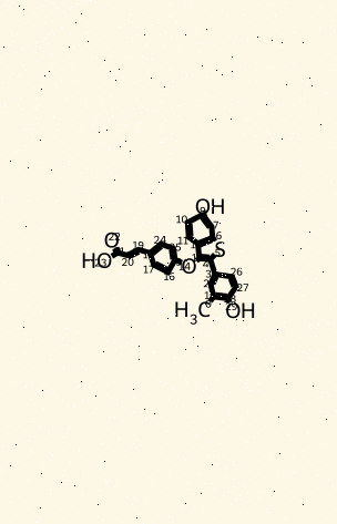 Cc1cc(-c2sc3cc(O)ccc3c2Oc2ccc(C=CC(=O)O)cc2)ccc1O